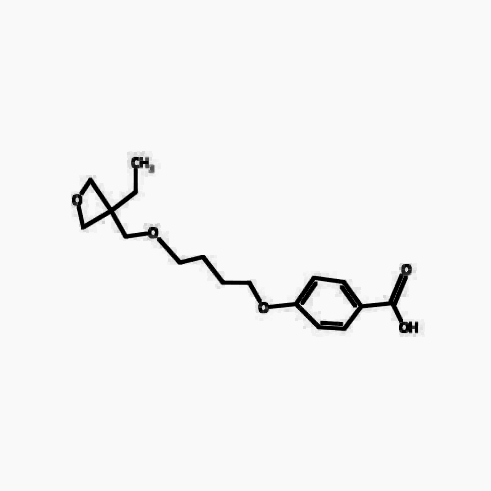 CCC1(COCCCCOc2ccc(C(=O)O)cc2)COC1